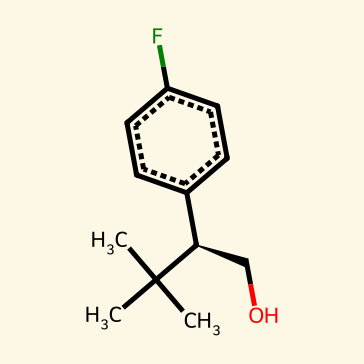 CC(C)(C)[C@H](CO)c1ccc(F)cc1